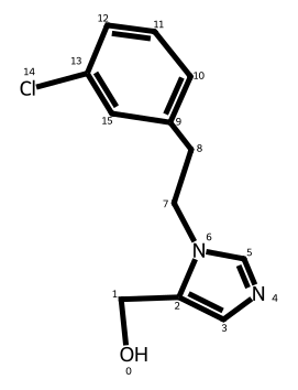 OCc1cncn1CCc1cccc(Cl)c1